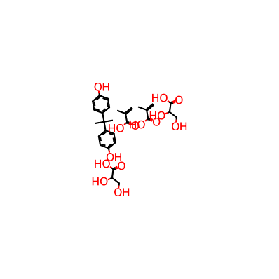 C=C(C)C(=O)O.C=C(C)C(=O)O.CC(C)(c1ccc(O)cc1)c1ccc(O)cc1.O=C(O)C(O)CO.O=C(O)C(O)CO